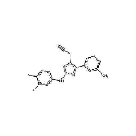 Cc1cc(-n2nc(Nc3ccc(F)c(F)c3)cc2CC#N)ccn1